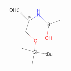 CB(O)N[C@@H](C=O)CO[Si](C)(C)C(C)(C)C